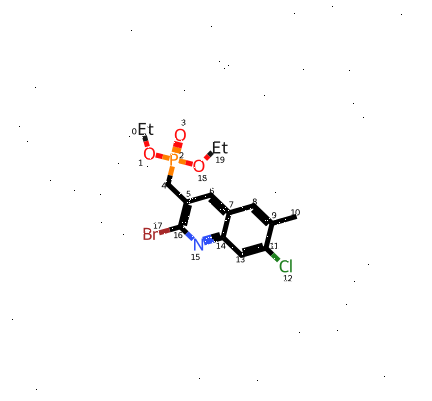 CCOP(=O)(Cc1cc2cc(C)c(Cl)cc2nc1Br)OCC